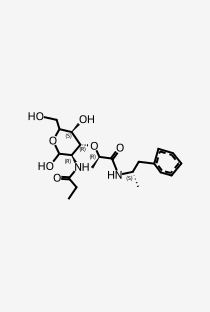 CCC(=O)N[C@H]1C(O)OC(CO)[C@@H](O)[C@@H]1O[C@H](C)C(=O)N[C@@H](C)Cc1ccccc1